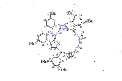 CC(C)(C)c1ccc(N(c2ccc(C(C)(C)C)cc2)c2c3nc(c(-c4cc(C(C)(C)C)cc(C(C)(C)C)c4)c4ccc(cc5nc(c(-c6cc(C(C)(C)C)cc(C(C)(C)C)c6)c6ccc2[nH]6)C=C5)[nH]4)C=C3)cc1